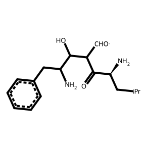 CC(C)C[C@H](N)C(=O)C([C]=O)C(O)C(N)Cc1ccccc1